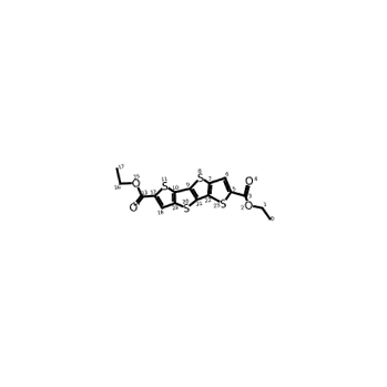 CCOC(=O)c1cc2sc3c4sc(C(=O)OCC)cc4sc3c2s1